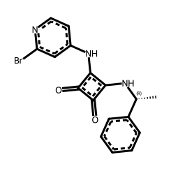 C[C@@H](Nc1c(Nc2ccnc(Br)c2)c(=O)c1=O)c1ccccc1